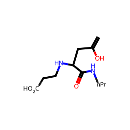 C=C(O)CC(NCCC(=O)O)C(=O)NCCC